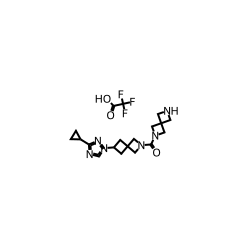 O=C(N1CC2(CNC2)C1)N1CC2(CC(n3cnc(C4CC4)n3)C2)C1.O=C(O)C(F)(F)F